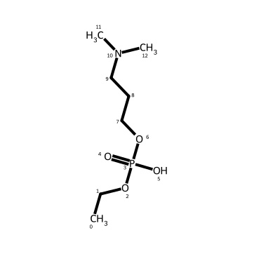 CCOP(=O)(O)OCCCN(C)C